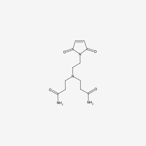 NC(=O)CCN(CCC(N)=O)CCN1C(=O)C=CC1=O